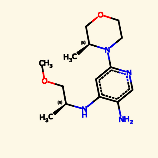 COC[C@H](C)Nc1cc(N2CCOC[C@@H]2C)ncc1N